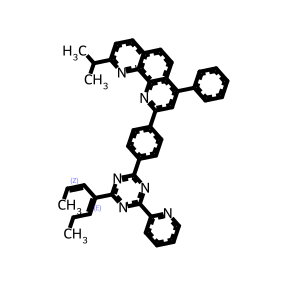 C/C=C\C(=C/CC)c1nc(-c2ccc(-c3cc(-c4ccccc4)c4ccc5ccc(C(C)C)nc5c4n3)cc2)nc(-c2ccccn2)n1